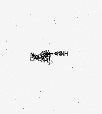 CC1(C)[C@H](Oc2ccc(C#N)c(Cl)c2)C(C)(C)[C@H]1N1Cc2nc(C#C[C@H]3C[C@H](N4CCNCC4)C3)cnc2C1=O